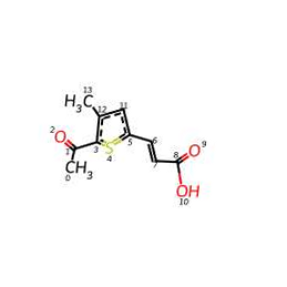 CC(=O)c1sc(/C=C/C(=O)O)cc1C